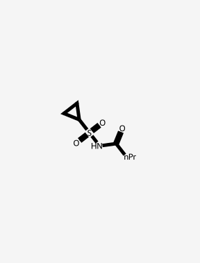 CCCC(=O)NS(=O)(=O)C1CC1